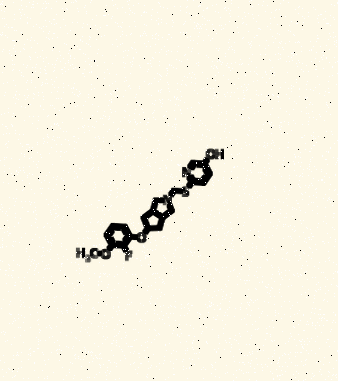 COc1cccc(OC2CC3CN(CSc4ccc(O)cn4)CC3C2)c1F